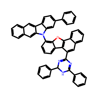 c1ccc(C2=NC(c3cc4ccccc4c4oc5c(-n6c7cc(-c8ccccc8)ccc7c7cc8ccccc8cc76)cccc5c34)=NC(c3ccccc3)N2)cc1